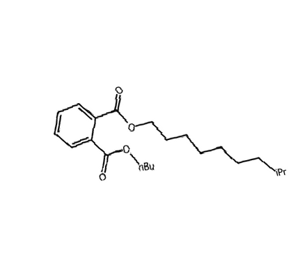 CCCCOC(=O)c1ccccc1C(=O)OCCCCCCCC(C)C